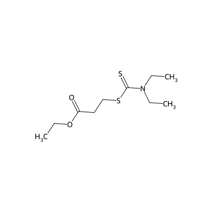 CCOC(=O)CCSC(=S)N(CC)CC